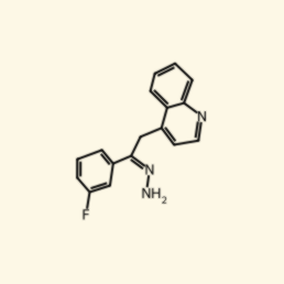 NN=C(Cc1ccnc2ccccc12)c1cccc(F)c1